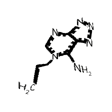 C=CCn1cnc2nnnc-2c1N